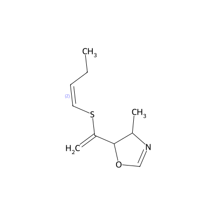 C=C(S/C=C\CC)C1OC=NC1C